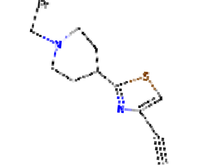 C#Cc1csc(C2CCN(C[C](C)C)CC2)n1